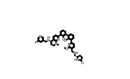 COc1nc(-c2cccc(-c3cccc(-c4ccc5c(n4)N(C)CC[C@H]5NCc4cncc(F)c4)c3Cl)c2Cl)ccc1CNC[C@H]1CCC(=O)N1